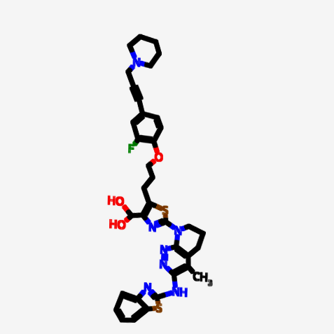 Cc1c(Nc2nc3ccccc3s2)nnc2c1CCCN2c1nc(C(O)O)c(CCCOc2ccc(C#CCN3CCCCC3)cc2F)s1